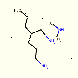 CCCC(CN)CCCN.CNC